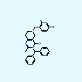 Cc1nc2c(c(=O)n1C(c1ccccc1)c1ccccc1)CN(Cc1ccc(C(F)(F)F)cc1F)CC2